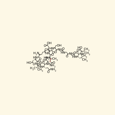 CSCC[C@H](N)C(=O)N[C@@H](CC(=O)O)C(=O)N[C@H](C(=O)N[C@@H](CCC(N)=O)C(=O)N[C@@H](CC(C)C)C(=O)N[C@@H](CCC(N)=O)C(=O)N[C@@H](CCC(=O)O)C(=O)N[C@@H](CO)C(=O)NCC(=O)NCC(=O)NCC(=O)N[C@@H](CC(C)C)C(=O)N[C@H](C(=O)O)C(C)C)C(C)C